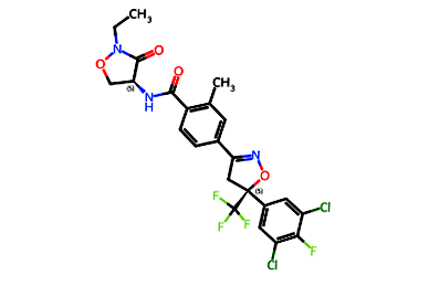 CCN1OC[C@H](NC(=O)c2ccc(C3=NO[C@@](c4cc(Cl)c(F)c(Cl)c4)(C(F)(F)F)C3)cc2C)C1=O